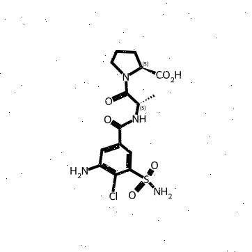 C[C@H](NC(=O)c1cc(N)c(Cl)c(S(N)(=O)=O)c1)C(=O)N1CCC[C@H]1C(=O)O